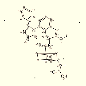 COc1cc2ncnc(-c3cn(C)nc3-c3ccccc3)c2cc1NC(=O)C12C3C4C1C1C2C3C41NC(=O)O